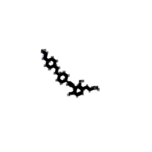 CCCc1ccc(F)c(C#C[C@H]2CC[C@H](CCC3CCC(/C=C/F)CC3)CC2)c1F